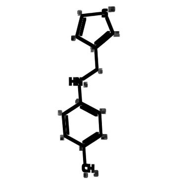 Cc1ccc(NCc2ccsc2)cc1